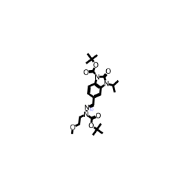 COCCN(/N=C/c1ccc2c(c1)n(C(C)C)c(=O)n2C(=O)OC(C)(C)C)C(=O)OC(C)(C)C